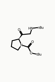 CCCCNCC(=O)[C@@H]1CCCN1C(=O)OC(C)(C)C